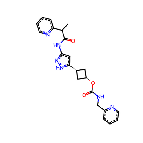 CC(C(=O)Nc1cc([C@H]2C[C@@H](OC(=O)NCc3ccccn3)C2)[nH]n1)c1ccccn1